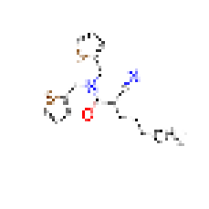 [CH2]CCCC(C#N)C(=O)N(Cc1cccs1)Cc1cccs1